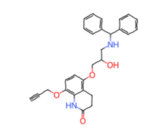 C#CCOc1ccc(OCC(O)CNC(c2ccccc2)c2ccccc2)c2c1NC(=O)CC2